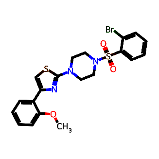 COc1ccccc1-c1csc(N2CCN(S(=O)(=O)c3ccccc3Br)CC2)n1